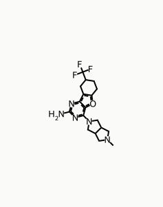 CN1CC2CN(c3nc(N)nc4c5c(oc34)CCC(C(F)(F)F)C5)CC2C1